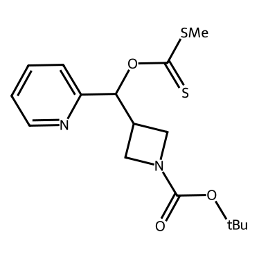 CSC(=S)OC(c1ccccn1)C1CN(C(=O)OC(C)(C)C)C1